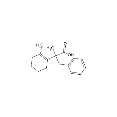 CC1=C(C(C)(Cc2ccccc2)C(=O)O)CCCC1